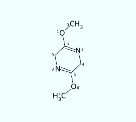 COC1=NCC(OC)=NC1